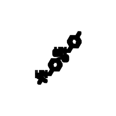 Cc1ccc(CNS(=O)(=O)c2ccc(CNC(C)(C)C)cc2)cc1